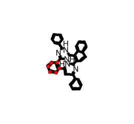 C1=C(c2ccccc2)NC(c2ccc3ccccc3c2C2NC(c3ccccc3)=NC(c3ccccc3)N2)N=C1c1ccccc1